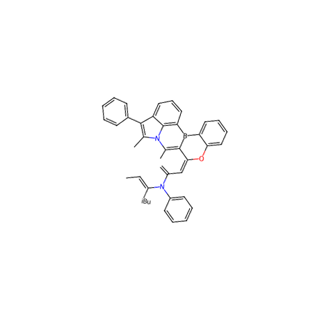 C=C(/C=C1/Oc2ccccc2B2C1=C(C)n1c(C)c(-c3ccccc3)c3cccc2c31)N(/C(=C/C)C(C)CC)c1ccccc1